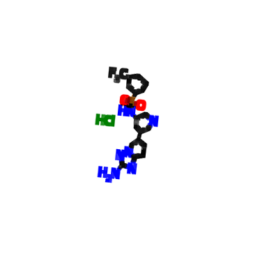 Cl.Nc1nc2ccc(-c3cncc(NS(=O)(=O)c4cccc(C(F)(F)F)c4)c3)cn2n1